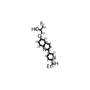 CCNc1ccc(-c2ccc3cc(OCC(O)CF)ccc3n2)cn1